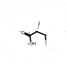 C[C@H](CI)C(=O)O